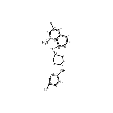 CCc1cnc(N[C@H]2CC[C@H](Oc3cccc4nc(C)cc(N)c34)CC2)nc1